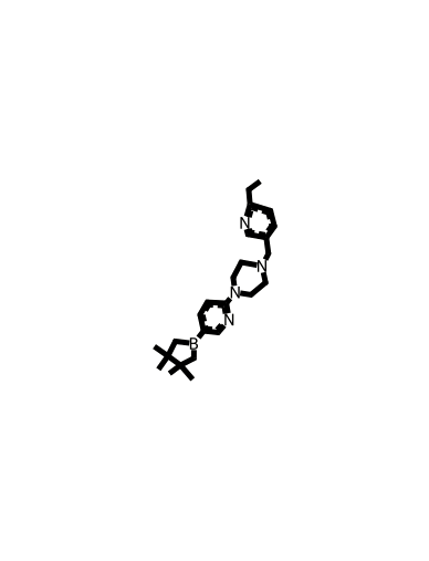 CCc1ccc(CN2CCN(c3ccc(B4CC(C)(C)C(C)(C)C4)cn3)CC2)cn1